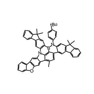 Cc1cc2c3c4c1c1cc5oc6ccccc6c5cc1n4-c1cc4c(cc1B3N(c1ccc(C(C)(C)C)cc1)c1cc3c(cc1-2)-c1ccccc1C3(C)C)C(C)(C)c1ccccc1-4